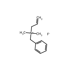 C=CC[N+](C)(C)Cc1ccccc1.[F-]